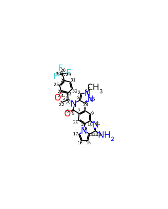 Cn1cc(N(C(=O)c2ccc3nc(N)c4cccn4c3c2)[C@@H]2COc3cc(C(F)(F)F)ccc32)cn1